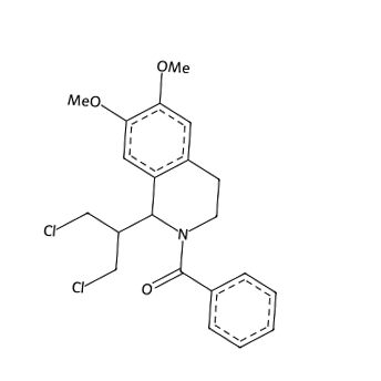 COc1cc2c(cc1OC)C(C(CCl)CCl)N(C(=O)c1ccccc1)CC2